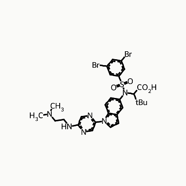 CN(C)CCNc1cnc(-n2ccc3cc(N(C(C(=O)O)C(C)(C)C)S(=O)(=O)c4cc(Br)cc(Br)c4)ccc32)cn1